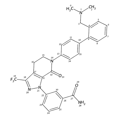 CN(C)Cc1ccccc1-c1ccc(N2CCc3c(C(F)(F)F)nn(-c4cccc(C(N)=O)c4)c3C2=O)cc1